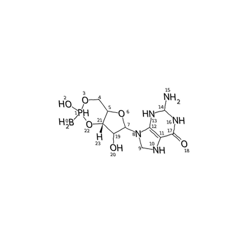 B[PH]1(O)OCC2OC(N3CNC4=C3NC(N)NC4=O)C(O)[C@@H]2O1